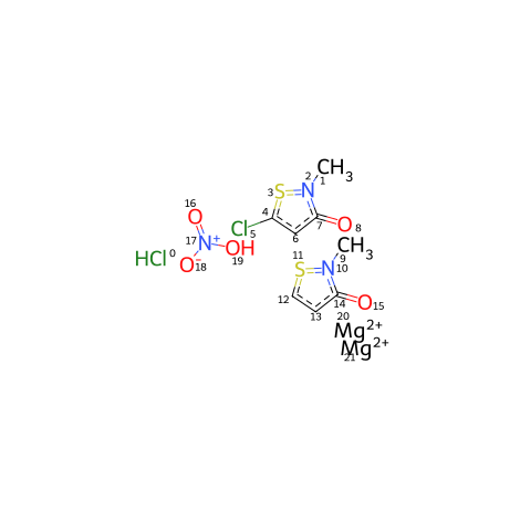 Cl.Cn1sc(Cl)cc1=O.Cn1sccc1=O.O=[N+]([O-])O.[Mg+2].[Mg+2]